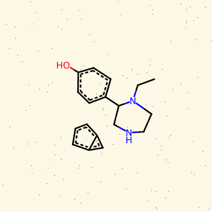 CCN1CCNCC1c1ccc(O)cc1.c1cc2cc-2c1